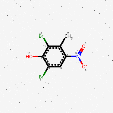 Cc1c([N+](=O)[O-])cc(Br)c(O)c1Br